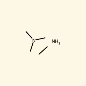 CC.CN(C)C.N